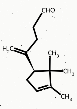 C=C(CCC=O)[C@@H]1CC=C(C)C1(C)C